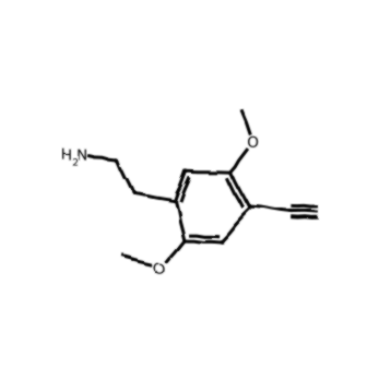 C#Cc1cc(OC)c(CCN)cc1OC